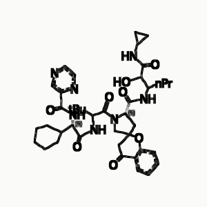 CCCC(NC(=O)[C@@H]1CC2(CC(=O)c3ccccc3O2)CN1C(=O)C(NC(=O)[C@@H](NC(=O)c1cnccn1)C1CCCCC1)C(C)(C)C)C(O)C(=O)NC1CC1